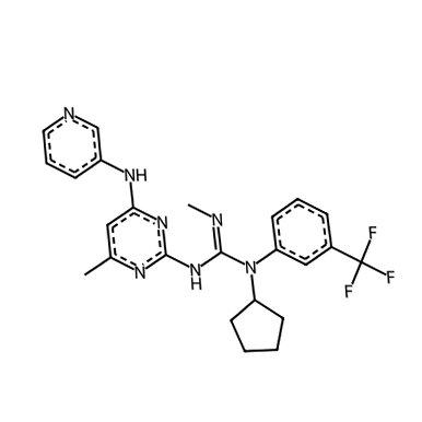 C/N=C(\Nc1nc(C)cc(Nc2cccnc2)n1)N(c1cccc(C(F)(F)F)c1)C1CCCC1